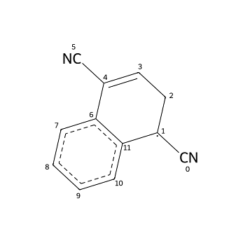 N#C[C]1CC=C(C#N)c2ccccc21